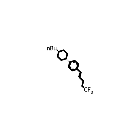 CCCC[C@H]1CC[C@H](c2ccc(C=CCCC(F)(F)F)cc2)CC1